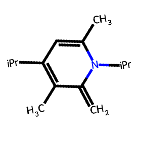 C=C1C(C)=C(C(C)C)C=C(C)N1C(C)C